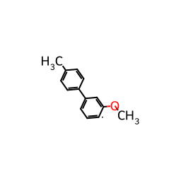 COc1[c]ccc(-c2ccc(C)cc2)c1